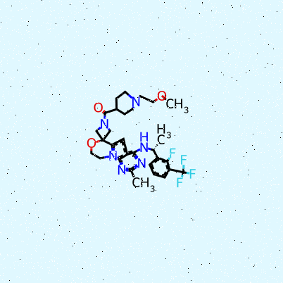 COCCN1CCC(C(=O)N2CC3(C2)OCCn2c3cc3c(N[C@H](C)c4cccc(C(F)(F)F)c4F)nc(C)nc32)CC1